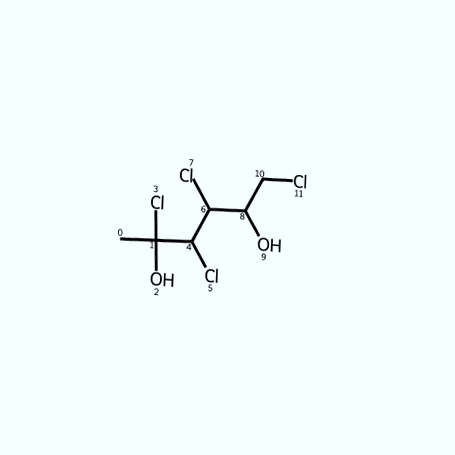 CC(O)(Cl)C(Cl)C(Cl)C(O)CCl